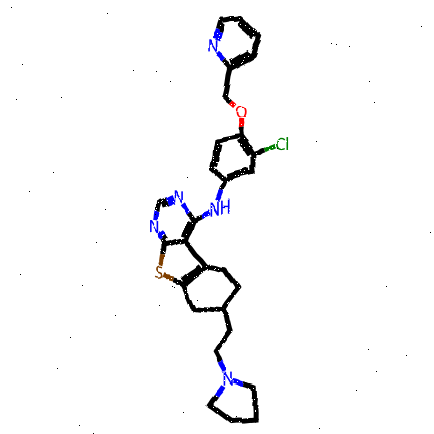 Clc1cc(Nc2ncnc3sc4c(c23)CCC(CCN2CCCC2)C4)ccc1OCc1ccccn1